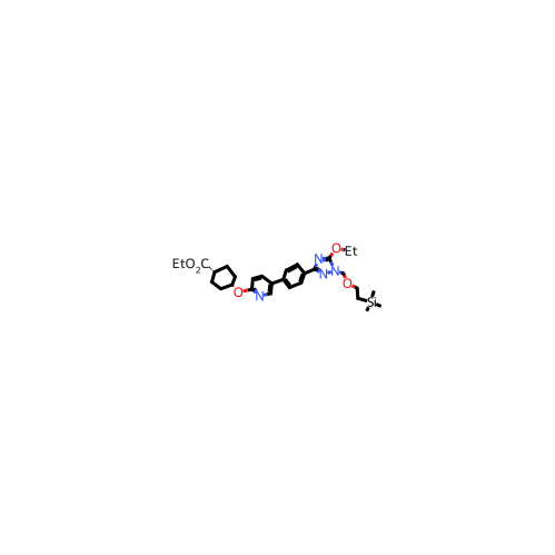 CCOc1nc(-c2ccc(-c3ccc(O[C@H]4CC[C@@H](C(=O)OCC)CC4)nc3)cc2)nn1COCC[Si](C)(C)C